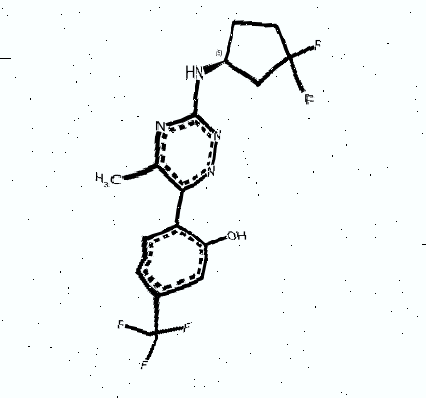 Cc1nc(N[C@H]2CCC(F)(F)C2)nnc1-c1ccc(C(F)(F)F)cc1O